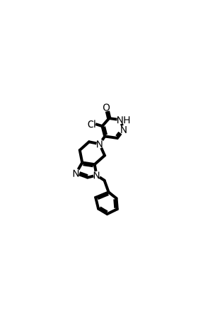 O=c1[nH]ncc(N2CCc3ncn(Cc4ccccc4)c3C2)c1Cl